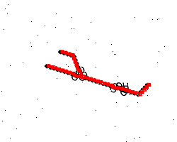 CCCCCCCC/C=C\CCCCCCCC(=O)OCC(O)COC(=O)CCCCCCC/C=C/CCCCCCCC(=O)OC(COC(=O)CCCCCCC/C=C\CCCCCCCC)COC(=O)CCCCCCCCCCCCCCCCC